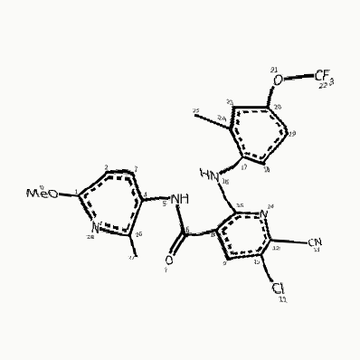 COc1ccc(NC(=O)c2cc(Cl)c(C#N)nc2Nc2ccc(OC(F)(F)F)cc2C)c(C)n1